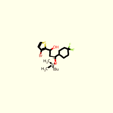 CC(C)(C)[Si](C)(C)O[C@@H](CC(O)c1sccc1Br)C1CCC(F)(F)CC1